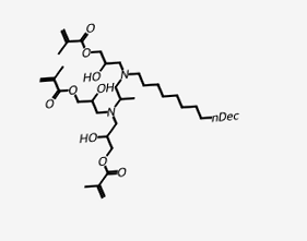 C=C(C)C(=O)OCC(O)CN(CCCCCCCCCCCCCCCCCC)CC(C)N(CC(O)COC(=O)C(=C)C)CC(O)COC(=O)C(=C)C